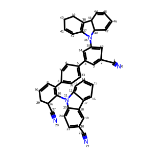 N#Cc1cc(-c2ccc(C3=C(n4c5ccccc5c5cc(C#N)ccc54)C(C#N)CC=C3)cc2)cc(N2C3=C(CCC=C3)C3C=CC=CC32)c1